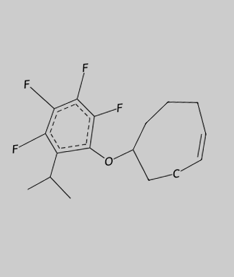 CC(C)c1c(F)c(F)c(F)c(F)c1OC1CC/C=C\CCC1